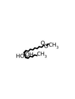 CCCCC/C=C\C(O)(O)/C=C\CCCCCCCC(=O)OCC